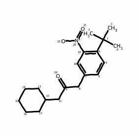 CC(C)(C)c1ccc(CC(=O)CC2CCCCC2)cc1[N+](=O)[O-]